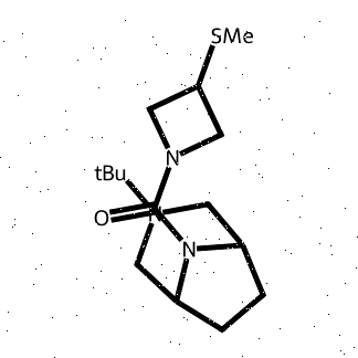 CSC1CN(C(=O)N2C3CCC2CN(C(C)(C)C)C3)C1